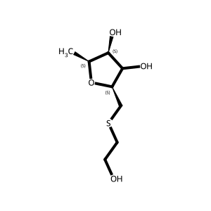 C[C@@H]1O[C@H](CSCCO)C(O)[C@@H]1O